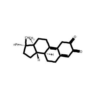 CCC[C@@]1(C)CC[C@H]2[C@@H]3CCC4=CC(=O)C(=O)CC4=C3CC[C@@]21C